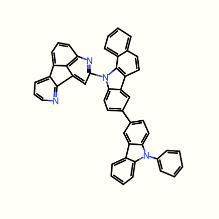 c1ccc(-n2c3ccccc3c3cc(-c4ccc5c(c4)c4ccc6ccccc6c4n5-c4cc5c6c(cccc6n4)-c4cccnc4-5)ccc32)cc1